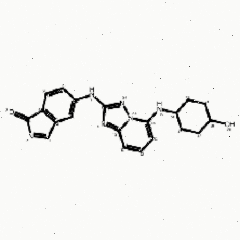 O=C1N=Cc2cc(Nc3nc4cccc(NC5CCC(O)CC5)n4n3)ccc21